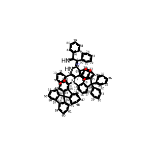 N=C(/C(=C1\NC(c2ccccc2)=C(N(c2cccc3c2-c2ccccc2C3(c2ccccc2)c2ccccc2)c2cccc3c2-c2ccccc2C32c3ccccc3-c3ccccc32)c2ccccc21)c1ccccc1)c1ccccc1